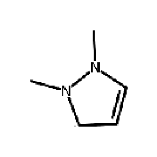 CN1[CH]C=CN1C